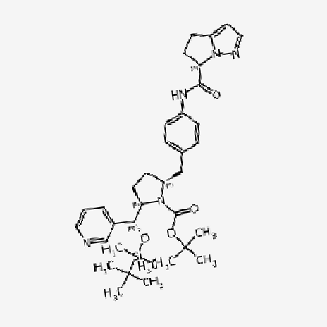 CC(C)(C)OC(=O)N1[C@H](Cc2ccc(NC(=O)[C@H]3CCc4ccnn43)cc2)CC[C@@H]1[C@H](O[Si](C)(C)C(C)(C)C)c1cccnc1